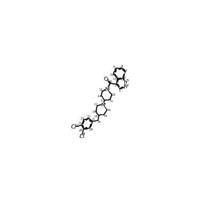 O=C(c1cnnc2ccccc12)N1CCC(N2CCC(Cc3ccc(Cl)c(Cl)c3)CC2)CC1